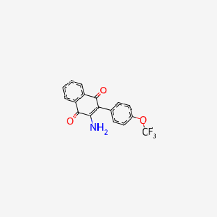 NC1=C(c2ccc(OC(F)(F)F)cc2)C(=O)c2ccccc2C1=O